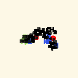 CC1CN(C(=O)Nc2cccnc2)CC/C1=C\c1cccc(Oc2ccc(C(F)(F)F)nc2)c1